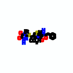 CCn1c(SCC2=C(C(=O)O)N3C(=O)[C@@H](NC(=O)Cc4ccccc4)[C@@H]3SC2)n[nH]c(=O)c1=O